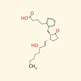 CCCCC[C@H](O)/C=C/[C@H]1CCC(=O)[C@@H]1Cc1ccccc1CCCC(=O)O